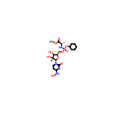 CCCOC(=O)[C@H](C)NP(=O)(OC[C@H]1O[C@@H](n2ccc(NO)nc2=O)[C@](C)(O)C1O)Oc1ccccc1